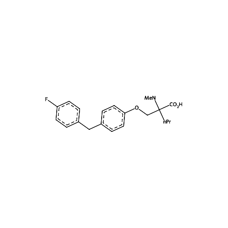 CCCC(COc1ccc(Cc2ccc(F)cc2)cc1)(NC)C(=O)O